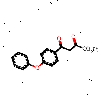 CCOC(=O)C(=O)CC(=O)c1ccc(Oc2ccccc2)cc1